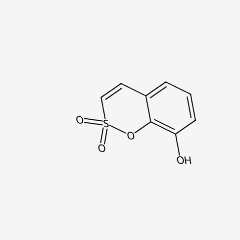 O=S1(=O)C=Cc2cccc(O)c2O1